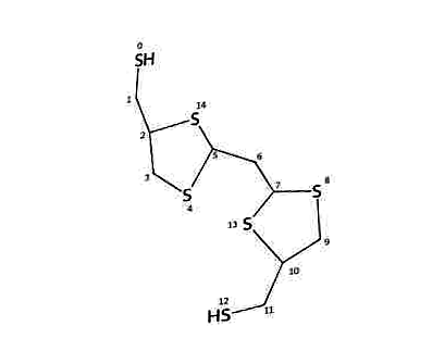 SCC1CSC(CC2SCC(CS)S2)S1